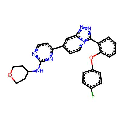 Fc1ccc(Oc2ccccc2-c2nnc3cc(-c4ccnc(NC5CCOCC5)n4)ccn23)cc1